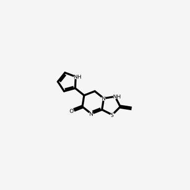 C=C1NN2CC(c3ccc[nH]3)C(=O)N=C2S1